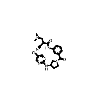 CN(C)CC(C#N)C(=O)Nc1cccc(C(=O)N2CC[C@@H](Nc3ncc(Cl)cn3)C2)c1